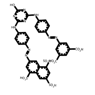 O=C(O)c1cc(/N=N/c2ccc(Nc3nc(O)nc(Nc4ccc(/N=N/c5cc(S(=O)(=O)O)c6cc(S(=O)(=O)O)cc(S(=O)(=O)O)c6c5)cc4)n3)cc2)cc(C(=O)O)c1